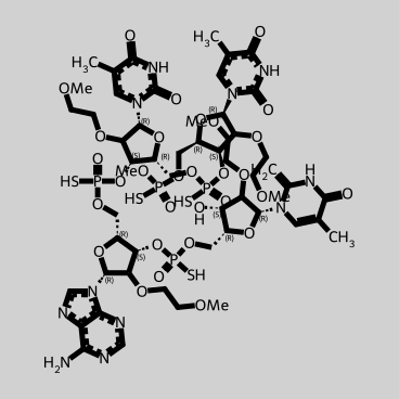 C=C1NC(=O)C(C)=CN1[C@@H]1O[C@H](COP(=O)(S)O[C@@H]2C(OCCOC)[C@H](n3cnc4c(N)ncnc43)O[C@@H]2COP(=O)(S)O[C@@H]2C(OCCOC)[C@H](n3cc(C)c(=O)[nH]c3=O)O[C@@H]2COP(=O)(S)O[C@@H]2C(OCCOC)[C@H](n3cc(C)c(=O)[nH]c3=O)O[C@@H]2COP(=O)(S)OC)[C@H](O)C1OCCOC